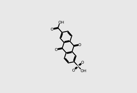 O=C(O)c1ccc2c(c1)C(=O)c1ccc(S(=O)(=O)O)cc1C2=O